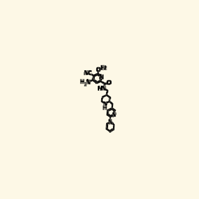 CCOc1nc(C(=O)NCC2CCNC(Cc3ccc(N4C=CC=CC4)nc3)C2)cc(N)c1C#N